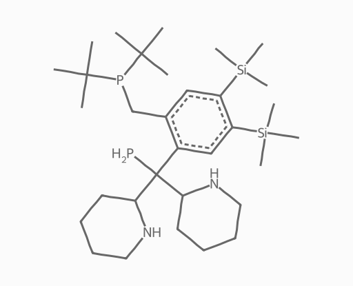 CC(C)(C)P(Cc1cc([Si](C)(C)C)c([Si](C)(C)C)cc1C(P)(C1CCCCN1)C1CCCCN1)C(C)(C)C